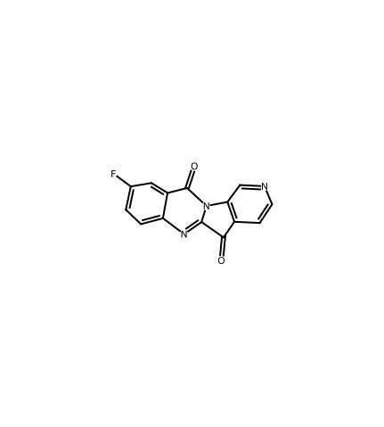 O=C1c2ccncc2-n2c1nc1ccc(F)cc1c2=O